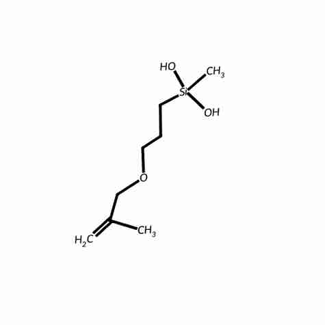 C=C(C)COCCC[Si](C)(O)O